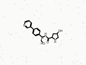 O=C(N[C@@H](CO)c1ccc(-c2cccnc2)cc1)C1CC(O)CN1